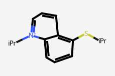 CC(C)Sc1cccc2c1ccc[n+]2C(C)C